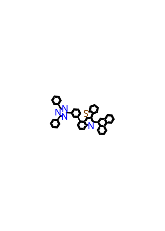 c1ccc(-c2nc(-c3ccccc3)nc(-c3cccc(-c4cccc5nc(-c6cc7ccccc7c7ccccc67)c6c7ccccc7sc6c45)c3)n2)cc1